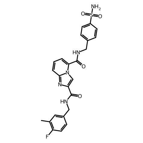 Cc1cc(CNC(=O)c2cn3c(C(=O)NCc4ccc(S(N)(=O)=O)cc4)cccc3n2)ccc1F